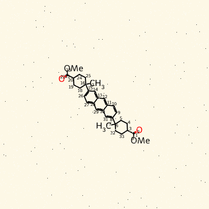 COC(=O)C1CCC(C)(c2ccc3cc4cc(C5(C)CCC(C(=O)OC)CC5)ccc4cc3c2)CC1